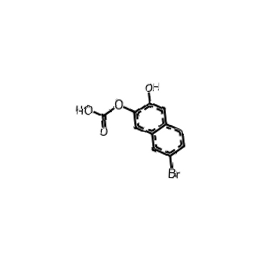 O=C(O)Oc1cc2cc(Br)ccc2cc1O